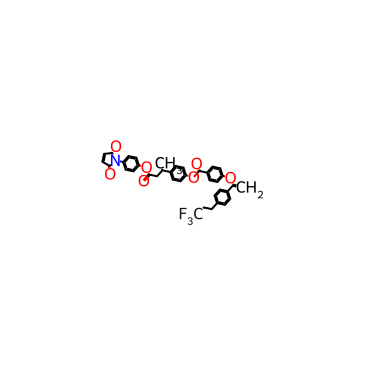 C=C(Oc1ccc(C(=O)Oc2ccc(C(C)CC(=O)Oc3ccc(N4C(=O)C=CC4=O)cc3)cc2)cc1)c1ccc(CCC(F)(F)F)cc1